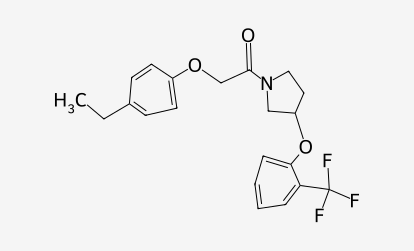 CCc1ccc(OCC(=O)N2CCC(Oc3ccccc3C(F)(F)F)C2)cc1